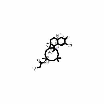 CC(=O)/C=C1/[C@@]2(C)C=C(C#N)C(=O)[C@@H](C)[C@@H]2CC[C@@]1(C)[C@@]1(C)CCCC(C)(C)CC[C@](C)(NC(=O)CC(F)(F)F)CC1